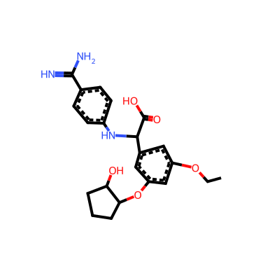 CCOc1cc(OC2CCCC2O)cc(C(Nc2ccc(C(=N)N)cc2)C(=O)O)c1